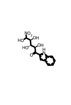 O=C(c1cc2ccccc2[nH]1)[C@H](O)[C@H](O)[C@H](O)C(O)[N+](=O)[O-]